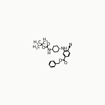 CC(C)(C)OC(=O)N[C@H]1CC[C@H](Nc2cc(C(=O)OCc3ccccc3)ccc2C#N)CC1